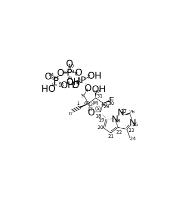 C#C[C@]1(COP(=O)(O)OP(=O)(O)OP(=O)(O)O)O[C@@H](c2ccc3c(C)ncnn23)[C@H](F)[C@@H]1O